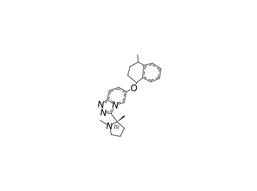 CC1CCC(Oc2ccc3nnc([C@]4(C)CCCN4C)n3c2)c2ccccc21